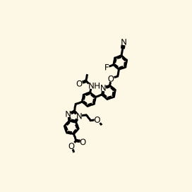 COCCn1c(Cc2ccc(-c3cccc(OCc4ccc(C#N)cc4F)n3)c(NC(C)=O)c2)nc2ccc(C(=O)OC)cc21